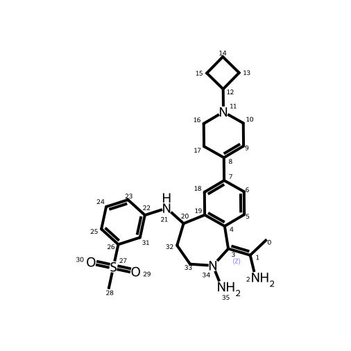 C/C(N)=C1\c2ccc(C3=CCN(C4CCC4)CC3)cc2C(Nc2cccc(S(C)(=O)=O)c2)CCN1N